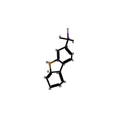 CC(C)(I)c1ccc2c(c1)sc1ccccc12